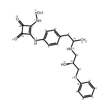 CCCCCCCCNc1c(Nc2ccc(CC(C)NC[C@H](O)COc3ccccc3)cc2)c(=O)c1=O